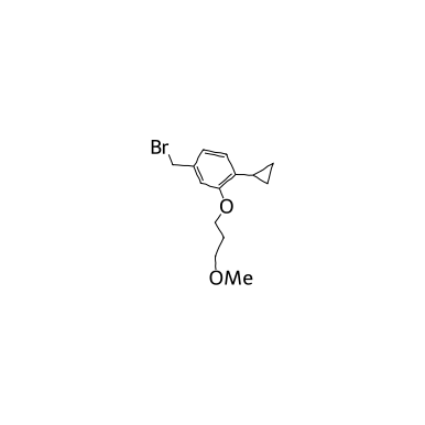 COCCCOc1cc(CBr)ccc1C1CC1